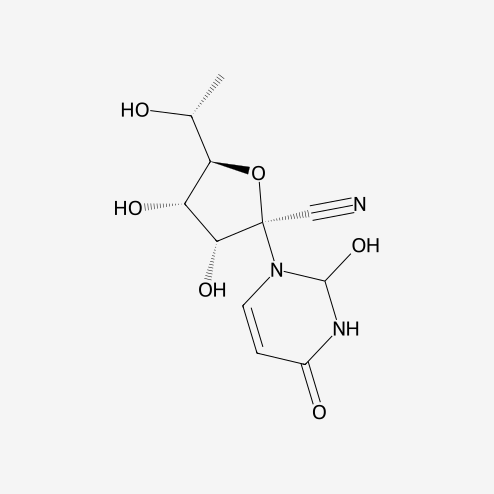 C[C@@H](O)[C@H]1O[C@@](C#N)(N2C=CC(=O)NC2O)[C@H](O)[C@@H]1O